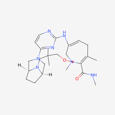 CNC(=O)C1=C(C)CC=C(Nc2nccc(N3C[C@H]4CC[C@@H](C3)N4CC(C)(C)COC)n2)CN1C